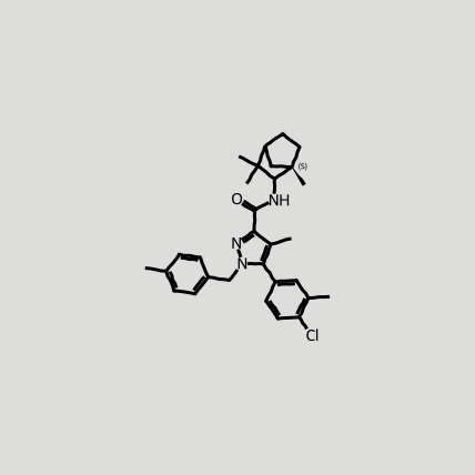 Cc1ccc(Cn2nc(C(=O)NC3C(C)(C)C4CC[C@@]3(C)C4)c(C)c2-c2ccc(Cl)c(C)c2)cc1